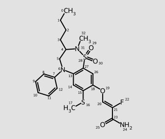 CCCCC1CN(c2ccccc2)c2cc(SC)c(O/C=C(\F)C(N)=O)cc2S(=O)(=O)N1C